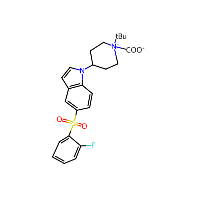 CC(C)(C)[N+]1(C(=O)[O-])CCC(n2ccc3cc(S(=O)(=O)c4ccccc4F)ccc32)CC1